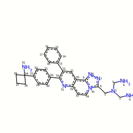 NCN(CN)Cc1nnc2c3cc(-c4ccccc4)c(-c4ccc(C5(N)CCC5)cc4)nc3ccn12